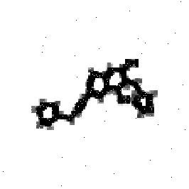 Oc1cc2ccc(C#CCc3ccccc3)cc2c(O)c1Cn1cnnc1